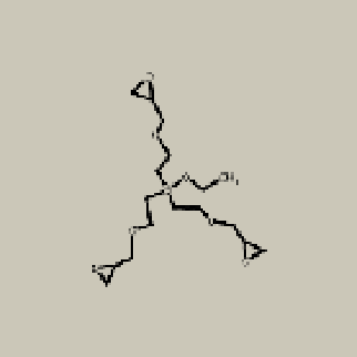 CCO[Si](CCOCC1CO1)(CCOCC1CO1)CCOCC1CO1